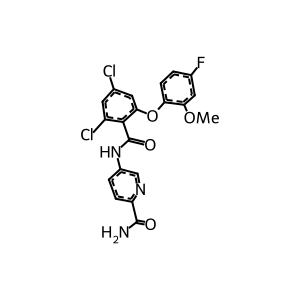 COc1cc(F)ccc1Oc1cc(Cl)cc(Cl)c1C(=O)Nc1ccc(C(N)=O)nc1